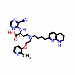 Cc1ncccc1OCCN(CCCCc1ccc2c(n1)NCCC2)CC[C@H](Nc1nccnc1C#N)C(=O)O